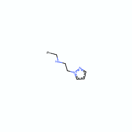 CC(C)CNCCn1cccn1